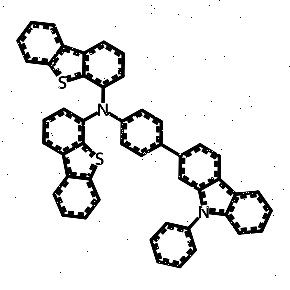 c1ccc(-n2c3ccccc3c3ccc(-c4ccc(N(c5cccc6c5sc5ccccc56)c5cccc6c5sc5ccccc56)cc4)cc32)cc1